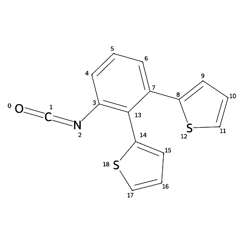 O=C=Nc1cccc(-c2cccs2)c1-c1cccs1